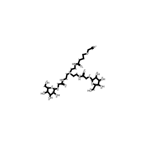 N#CCSCCCC(=O)NCCN(CCNC(=O)CSC1OC(CO)C(O)C(O)C1O)CCNC(=O)CSC1OC(CO)C(O)C(O)C1O